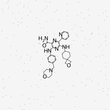 NC(=O)c1nc(-c2ccccn2)c(NC2CCC3(CC2)COC3)nc1Nc1ccc(CN2CCOCC2)cc1